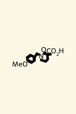 COc1ccc(CN2CCCC(C)(C(=O)O)C2=O)cc1